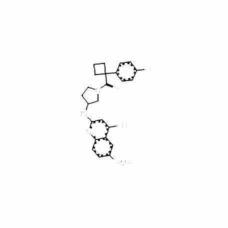 COc1ccc2nc(NC3CCN(C(=O)C4(c5ccc(Cl)cc5)CCC4)C3)cc(C)c2c1